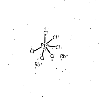 [Cl][Pt-2]([Cl])([Cl])([Cl])([Cl])[Cl].[Rb+].[Rb+]